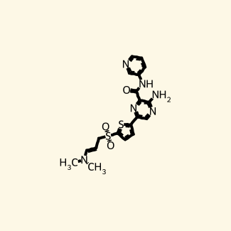 CN(C)C=CCS(=O)(=O)c1ccc(-c2cnc(N)c(C(=O)Nc3cccnc3)n2)s1